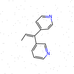 CC=C(c1ccncc1)c1cccnc1